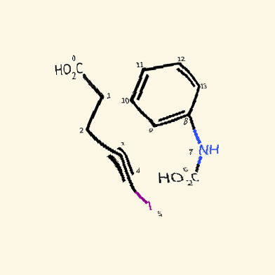 O=C(O)CCC#CI.O=C(O)Nc1ccccc1